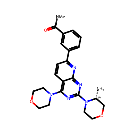 CNC(=O)c1cccc(-c2ccc3c(N4CCOCC4)nc(N4CCOC[C@H]4C)nc3n2)c1